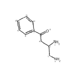 NCC(N)CC(=O)c1ccccc1